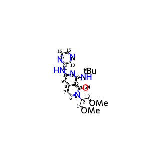 COCC(COC)n1ccc2cc(Nc3cnccn3)nc(NC(C)(C)C)c2c1=O